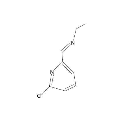 CCN=Cc1cccc(Cl)n1